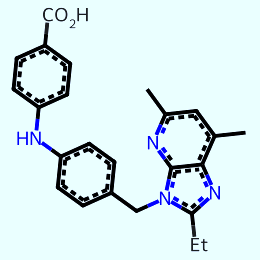 CCc1nc2c(C)cc(C)nc2n1Cc1ccc(Nc2ccc(C(=O)O)cc2)cc1